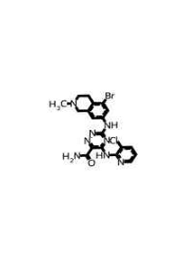 CN1CCc2c(Br)cc(Nc3nnc(C(N)=O)c(Nc4ncccc4Cl)n3)cc2C1